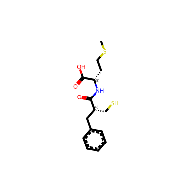 CSCC[C@H](NC(=O)[C@H](CS)Cc1ccccc1)C(=O)O